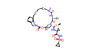 C=C[C@@H]1C[C@]1(NC(=O)[C@@H]1C[C@@H]2CN1C(=O)[C@H](CCCC)NC(=O)N(C)CCCCCCc1cccc3c1CN(C3)C(=O)O2)C(=O)NS(=O)(=O)C1CC1